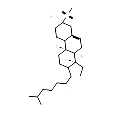 CC(C)CCC[C@@H](C)[C@H]1CC[C@H]2[C@@H]3CC=C4C[C@](O)(S(C)(=O)=O)CC[C@]4(C)[C@H]3CC[C@]12C